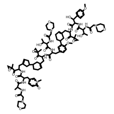 COc1ccc(C(O)C(NC(=O)C(NC(=O)CN2CCOCC2)C(C)O)C(=O)NC(CC2=CCCC(c3cc(CC(NC(=O)C(NC(=O)CN4CCOCC4)C(C)O)C(=O)NC(CC4=CCCC(C5CC=C(CC(NC(=O)C(Cc6ccc(=O)n(C)c6)NC(=O)C(C)NC(=O)CN6CCOCC6)C(=O)C6(C)CO6)C5)C4)C(=O)C4(C)CO4)ccc3OC)C2)C(=O)C2(C)CO2)cc1